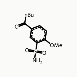 [CH2]CCCC(=O)c1ccc(OC)c(S(N)(=O)=O)c1